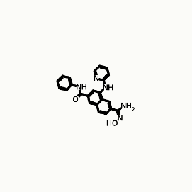 N/C(=N/O)c1ccc2cc(C(=O)Nc3ccccc3)cc(Nc3ccccn3)c2c1